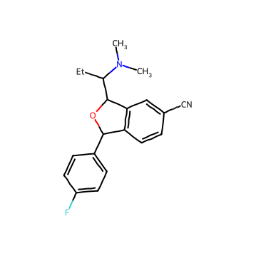 CCC(C1OC(c2ccc(F)cc2)c2ccc(C#N)cc21)N(C)C